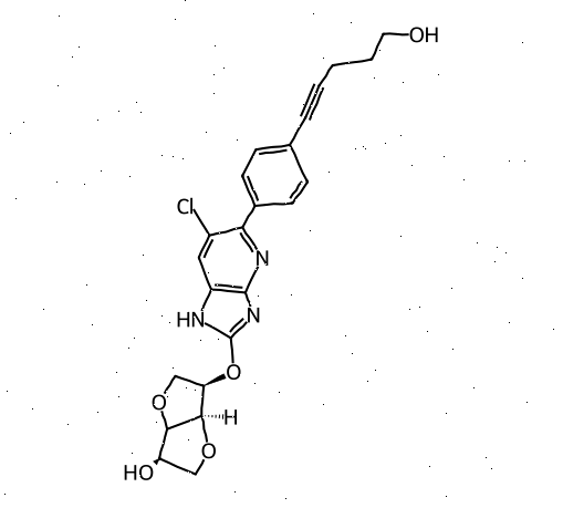 OCCCC#Cc1ccc(-c2nc3nc(O[C@@H]4COC5[C@H](O)CO[C@@H]54)[nH]c3cc2Cl)cc1